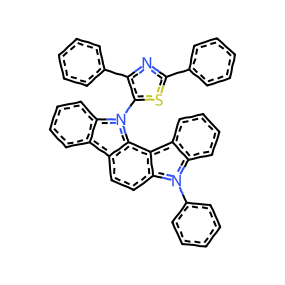 c1ccc(-c2nc(-c3ccccc3)c(-n3c4ccccc4c4ccc5c(c6ccccc6n5-c5ccccc5)c43)s2)cc1